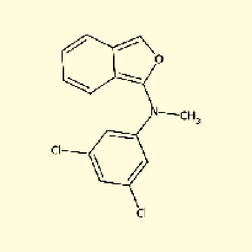 CN(c1cc(Cl)cc(Cl)c1)c1occ2ccccc12